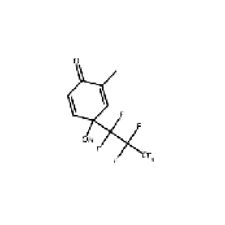 CC1=CC(O)(C(F)(F)C(F)(F)C(F)(F)F)C=CC1=O